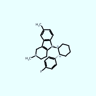 Cc1ccc2c(c1)c1c(n2[C@H]2CCCC[C@@H]2c2ccc(F)cc2)CCN(C)C1